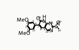 COc1cc(OC)cc(-c2cc3cnc([S+](C)[O-])nc3[nH]c2=O)c1